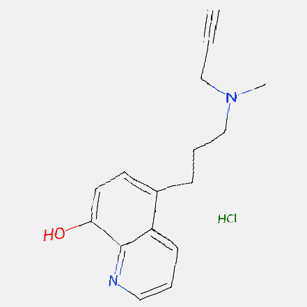 C#CCN(C)CCCc1ccc(O)c2ncccc12.Cl